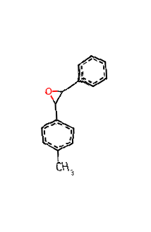 Cc1ccc(C2OC2c2ccccc2)cc1